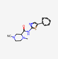 CN1CCN(C#N)CC1C(=O)Nc1ncc(-c2ccccc2)s1